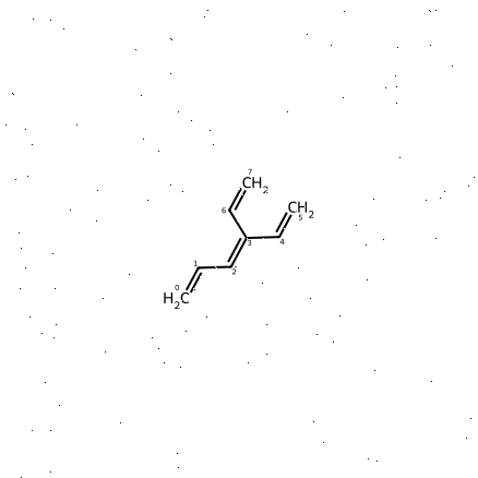 C=C[C]=C(C=C)C=C